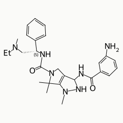 CCN(C)C[C@@H](NC(=O)N1CC2=C(N(C)NC2NC(=O)c2cccc(N)c2)C1(C)C)c1ccccc1